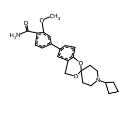 COc1cc(-c2ccc3c(c2)COC2(CCN(C4CCC4)CC2)O3)ccc1C(N)=O